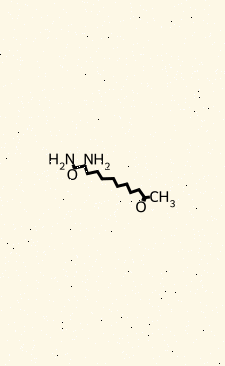 CC(=O)CCCCCCCCC(N)C(N)=O